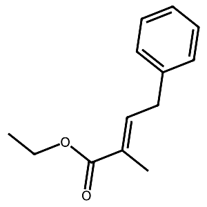 CCOC(=O)/C(C)=C/Cc1ccccc1